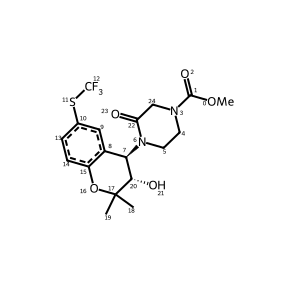 COC(=O)N1CCN([C@@H]2c3cc(SC(F)(F)F)ccc3OC(C)(C)[C@H]2O)C(=O)C1